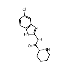 O=C(Nc1nc2cc(Cl)ccc2[nH]1)[C@@H]1CCCCN1